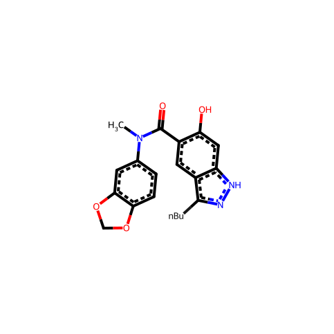 CCCCc1n[nH]c2cc(O)c(C(=O)N(C)c3ccc4c(c3)OCO4)cc12